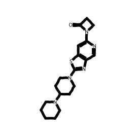 O=C1CCN1c1cc2sc(N3CCC(N4CCCCC4)CC3)nc2cn1